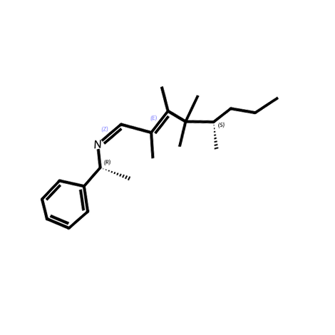 CCC[C@H](C)C(C)(C)/C(C)=C(C)/C=N\[C@H](C)c1ccccc1